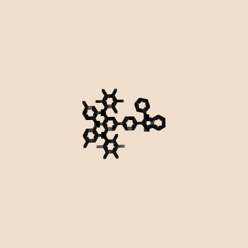 Cc1ccc2c(c1)B(c1c(C)c(C)c(C)c(C)c1C)c1cc(-c3ccc(-c4nc5ccccc5n4-c4ccccc4)cc3)cc3c1N2c1ccc(C)cc1B3c1c(C)c(C)c(C)c(C)c1C